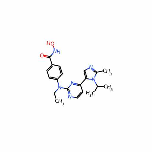 CCN(c1ccc(C(=O)NO)cc1)c1nccc(-c2cnc(C)n2C(C)C)n1